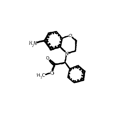 COC(=O)C(c1ccccc1)N1CCOc2ccc(N)cc21